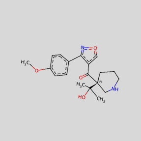 COc1ccc(-c2nocc2C(=O)[C@]2(C(C)(C)O)CCCNC2)cc1